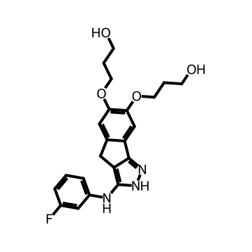 OCCCOc1cc2c(cc1OCCCO)-c1n[nH]c(Nc3cccc(F)c3)c1C2